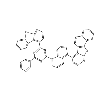 c1ccc(-c2nc(-c3cccc4c(-c5ccnc6oc7c8ccccc8ccc7c56)cccc34)nc(-c3cccc4oc5ccccc5c34)n2)cc1